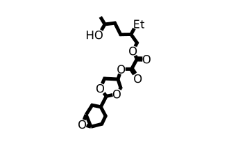 CCC(CCC(C)O)COC(=O)C(=O)OC1COC(C2CCC3OC3C2)OC1